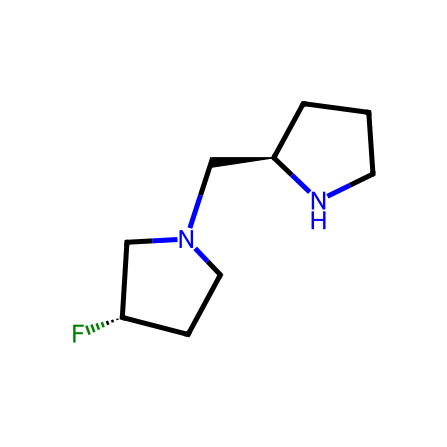 F[C@H]1CCN(C[C@H]2CCCN2)C1